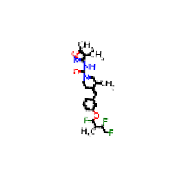 Cc1onc(NC(=O)N2CCC(=Cc3cccc(OC(F)C(C)C(F)CF)c3)C(C)C2)c1C